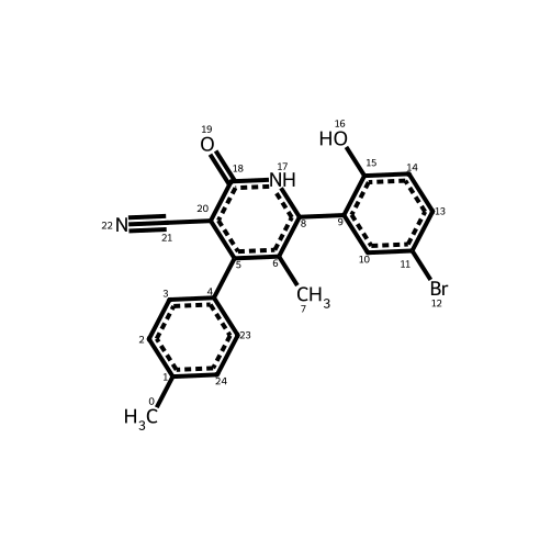 Cc1ccc(-c2c(C)c(-c3cc(Br)ccc3O)[nH]c(=O)c2C#N)cc1